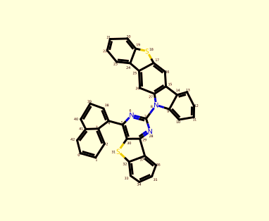 c1ccc2c(-c3nc(-n4c5ccccc5c5cc6sc7ccccc7c6cc54)nc4c3sc3ccccc34)cccc2c1